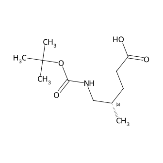 C[C@@H](CCC(=O)O)CNC(=O)OC(C)(C)C